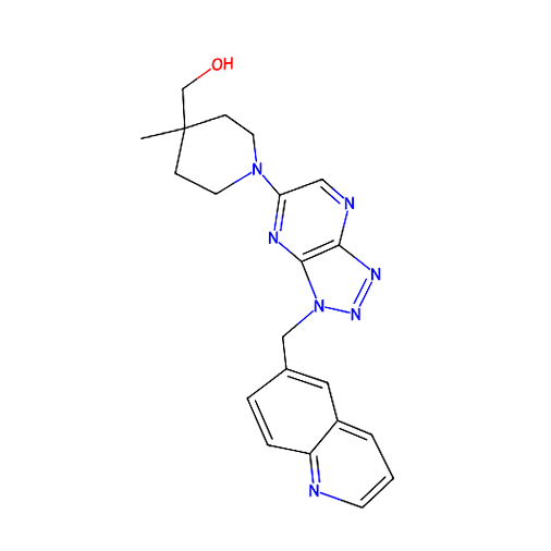 CC1(CO)CCN(c2cnc3nnn(Cc4ccc5ncccc5c4)c3n2)CC1